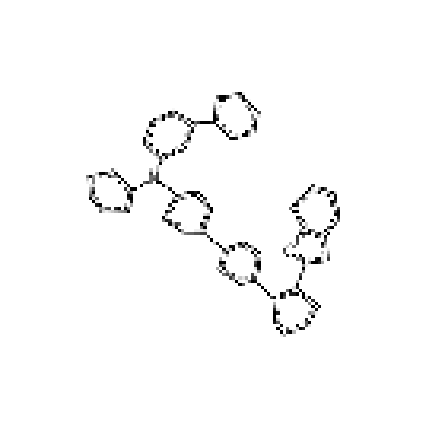 c1ccc(-c2cccc(N(c3ccccc3)c3ccc(-c4ccc(-c5ccccc5-c5cc6ccccc6o5)cc4)cc3)c2)cc1